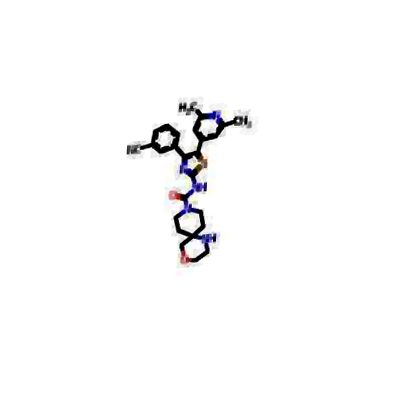 Cc1cc(-c2sc(NC(=O)N3CCC4(CC3)COCCN4)nc2-c2cccc(C#N)c2)cc(C)n1